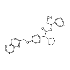 O=C(OC(CO)c1ccccc1)C(c1ccc(OCc2ccc3ccccc3n2)cc1)C1CCCC1